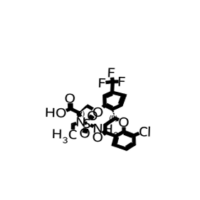 CCN([C@H](COc1cc(C(F)(F)F)ccc1[C@H]1CC(=O)c2cccc(Cl)c2O1)C(=O)O)S(N)(=O)=O